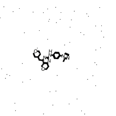 Cc1nccn1-c1ccc(Nc2nc3c(c(CC4CCOCC4)n2)COCC3)cc1